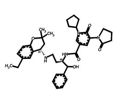 CCc1ccc2c(c1)[C@@H](NCC[C@@H](NC(=O)c1cc(N3CCCC3=O)c(=O)n(C3CCCC3)c1)C(O)c1ccccc1)CC(C)(C)O2